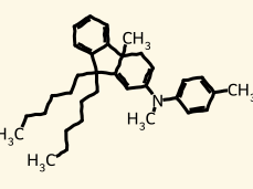 CCCCCCC1(CCCCCC)C2=CC(N(C)c3ccc(C)cc3)=CCC2(C)c2ccccc21